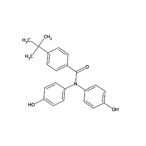 CC(C)(C)c1ccc(C(=O)N(c2ccc(O)cc2)c2ccc(O)cc2)cc1